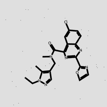 CCn1ncc(CN(C)C(=O)c2nc(-c3ncco3)nc3ccc(Cl)cc23)c1C